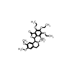 CCOc1c(N)c2c(c(OCC)c1OCC)C(=O)OC2C1c2cc(OC)c(OC)cc2CCN1C